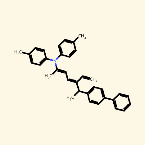 C=C/C(=C\C=C(/C)N(c1ccc(C)cc1)c1ccc(C)cc1)C(C)c1ccc(-c2ccccc2)cc1